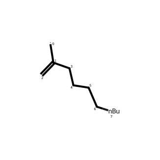 [CH2]C(=C)CCCCCCCC